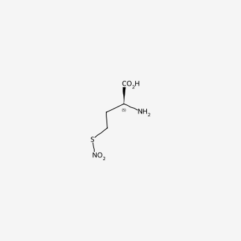 N[C@@H](CCS[N+](=O)[O-])C(=O)O